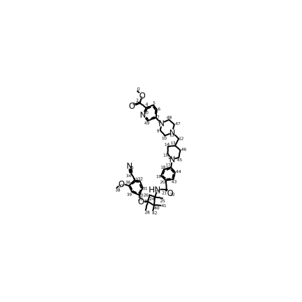 COC(=O)c1ccc(N2CCN(CC3CCN(c4ccc(C(=O)NC5(C)CC(C)(Oc6ccc(C#N)c(OC)c6)C5(C)C)cc4)CC3)CC2)cn1